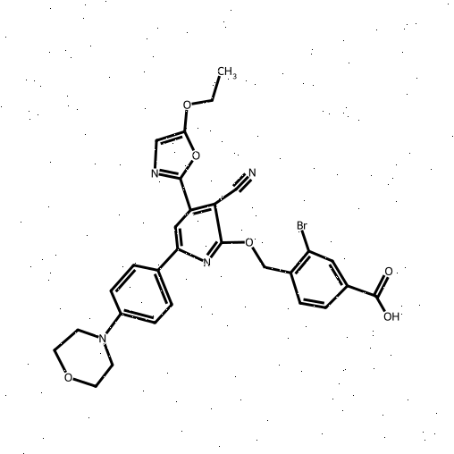 CCOc1cnc(-c2cc(-c3ccc(N4CCOCC4)cc3)nc(OCc3ccc(C(=O)O)cc3Br)c2C#N)o1